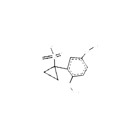 COc1ccc(OC)c(C2(S(N)(=O)=O)CC2)c1